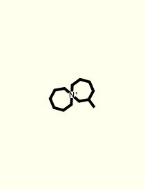 CC1CCCC[N+]2(CCCCCC2)C1